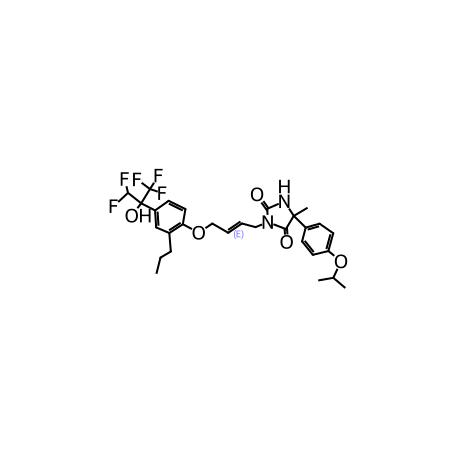 CCCc1cc(C(O)(C(F)F)C(F)(F)F)ccc1OC/C=C/CN1C(=O)NC(C)(c2ccc(OC(C)C)cc2)C1=O